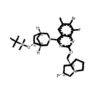 Cc1cc2c(N3C[C@@H]4C[C@H](C3)[C@H](O[Si](C)(C)C(C)(C)C)C4)nc(OC[C@@]34CCCN3C[C@H](F)C4)nc2c(F)c1Br